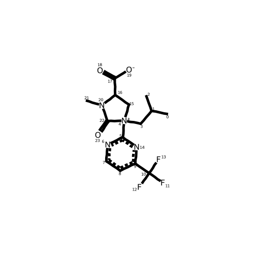 CC(C)C[N+]1(c2nccc(C(F)(F)F)n2)CC(C(=O)[O-])N(C)C1=O